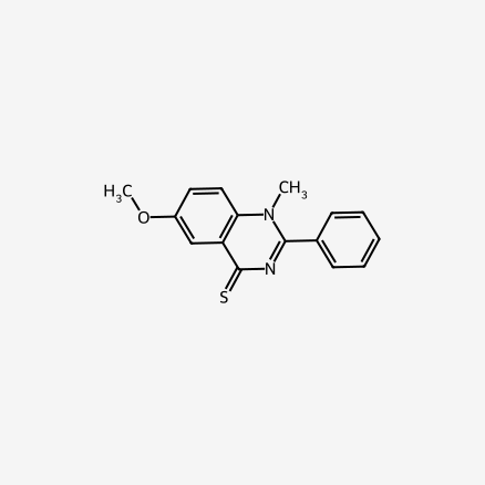 COc1ccc2c(c1)c(=S)nc(-c1ccccc1)n2C